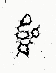 O=C1c2ccc(Br)cc2NC2(CCN(Cc3ccccc3)CC2)N1c1ccc(Cl)cc1